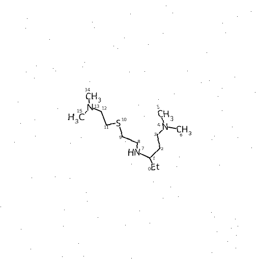 CCC(CCN(C)C)NCCSCCN(C)C